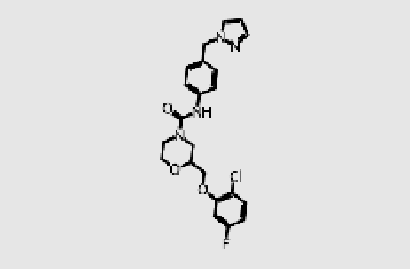 O=C(Nc1ccc(Cn2cccn2)cc1)N1CCOC(COc2cc(F)ccc2Cl)C1